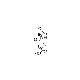 O=C(NNC(=O)C1CCN(C(=O)O)CC1)C1CC1